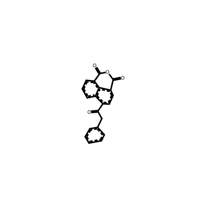 O=C(Cc1ccccc1)c1ccc2c3c(cccc13)C(=O)OC2=O